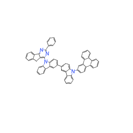 c1ccc(-c2nc3c(c(-n4c5ccccc5c5cc(-c6ccc7c(c6)c6ccccc6n7-c6ccc7c8ccccc8c8ccccc8c7c6)ccc54)n2)Cc2ccccc2-3)cc1